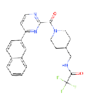 O=C(c1nccc(-c2ccc3ccccc3c2)n1)N1CCC(CNC(=O)C(F)(F)F)CC1